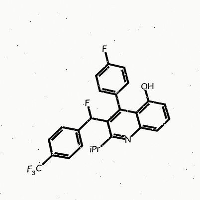 CC(C)c1nc2cccc(O)c2c(-c2ccc(F)cc2)c1C(F)c1ccc(C(F)(F)F)cc1